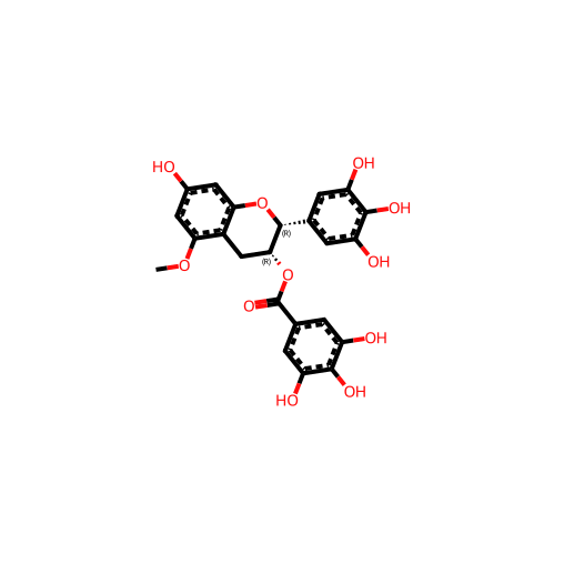 COc1cc(O)cc2c1C[C@@H](OC(=O)c1cc(O)c(O)c(O)c1)[C@@H](c1cc(O)c(O)c(O)c1)O2